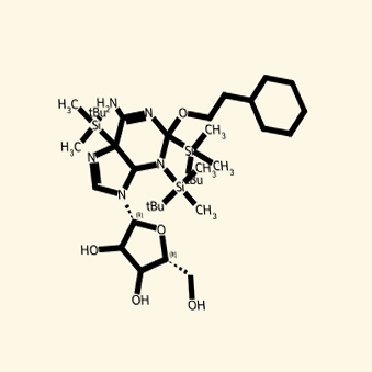 CC(C)(C)[Si](C)(C)N1C2N([C@@H]3O[C@H](CO)C(O)C3O)C=NC2([Si](C)(C)C(C)(C)C)C(N)=NC1(OCCC1CCCCC1)[Si](C)(C)C(C)(C)C